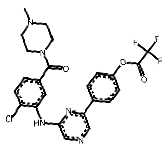 CN1CCN(C(=O)c2ccc(Cl)c(Nc3cncc(-c4ccc(OC(=O)C(F)(F)F)cc4)n3)c2)CC1